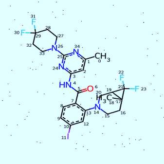 Cc1cc(NC(=O)c2ccc(I)cc2N2CCC3(C)C(C2)C3(F)F)nc(N2CCC(F)(F)CC2)n1